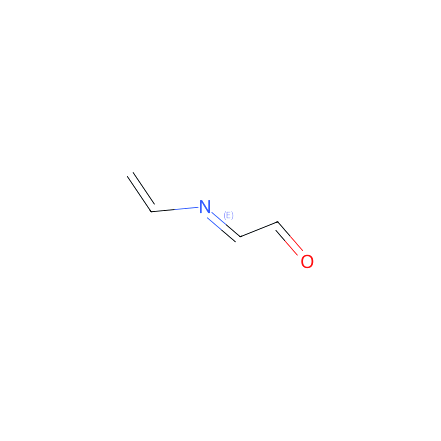 C=C/N=C/C=O